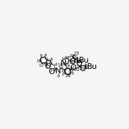 CN(C(=O)Cc1cc2ccccc2o1)[C@H](CN1CC[C@H](O[Si](C)(C)C(C)(C)C)C1)c1cccc(OCC(=O)OC(C)(C)C)c1